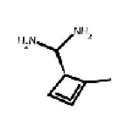 CC1=C=C[C@H]1C(N)N